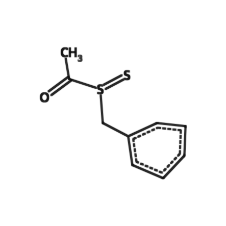 CC(=O)S(=S)Cc1ccccc1